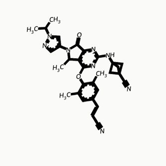 Cc1cc(/C=C/C#N)cc(C)c1Oc1nc(NC23CC(C#N)(C2)C3)nc2c1C(C)N(c1cnn(C(C)C)c1)C2=O